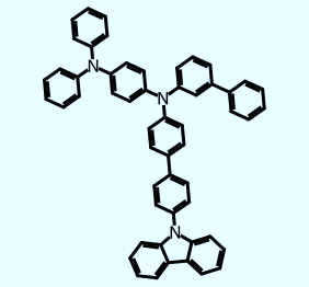 c1ccc(-c2cccc(N(c3ccc(-c4ccc(-n5c6ccccc6c6ccccc65)cc4)cc3)c3ccc(N(c4ccccc4)c4ccccc4)cc3)c2)cc1